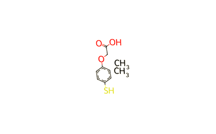 CC.O=C(O)COc1ccc(S)cc1